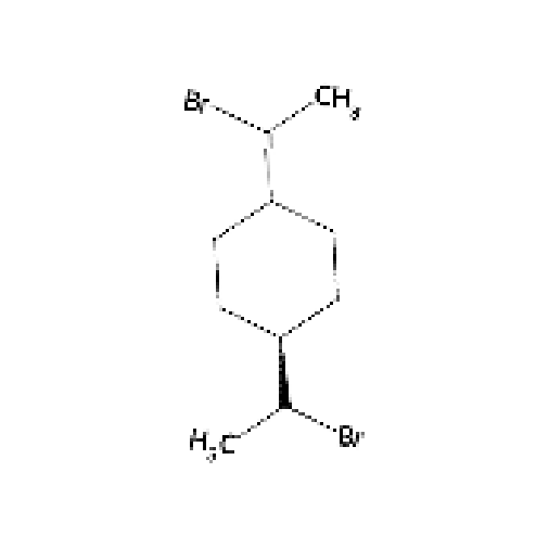 CC(Br)[C@H]1CC[C@H](C(C)Br)CC1